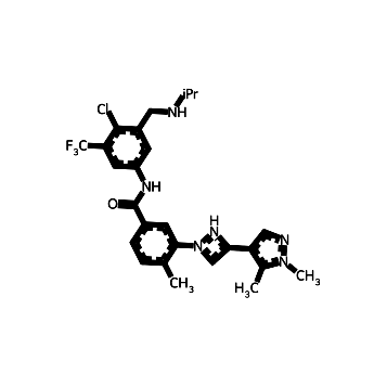 Cc1ccc(C(=O)Nc2cc(CNC(C)C)c(Cl)c(C(F)(F)F)c2)cc1-n1cc(-c2cnn(C)c2C)[nH]1